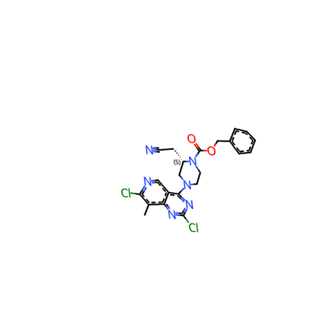 Cc1c(Cl)ncc2c(N3CCN(C(=O)OCc4ccccc4)[C@@H](CC#N)C3)nc(Cl)nc12